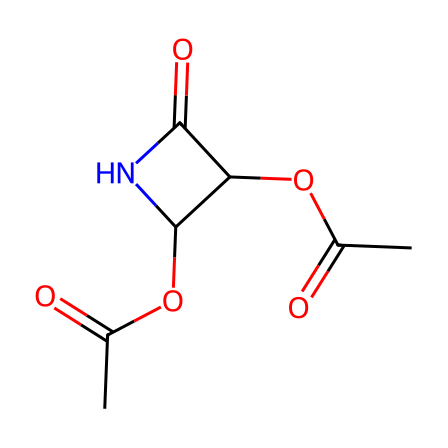 CC(=O)OC1NC(=O)C1OC(C)=O